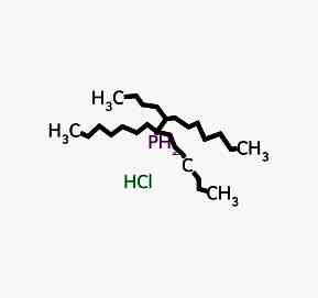 CCCCCCCC(CCCC)C(P)(CCCCCCC)CCCCCCC.Cl